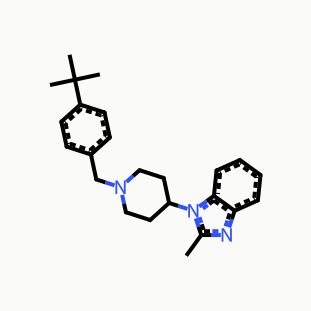 Cc1nc2ccccc2n1C1CCN(Cc2ccc(C(C)(C)C)cc2)CC1